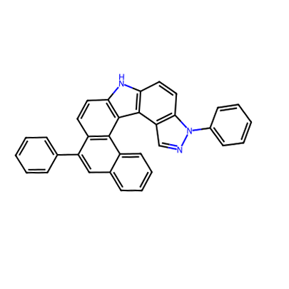 c1ccc(-c2cc3ccccc3c3c2ccc2[nH]c4ccc5c(cnn5-c5ccccc5)c4c23)cc1